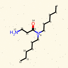 CCCCCCN(CCCCCC)C(=O)CCN